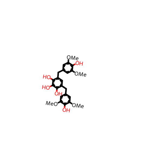 COc1cc(Cc2cc(Cc3cc(OC)c(O)c(OC)c3)c(O)c(O)c2O)cc(OC)c1O